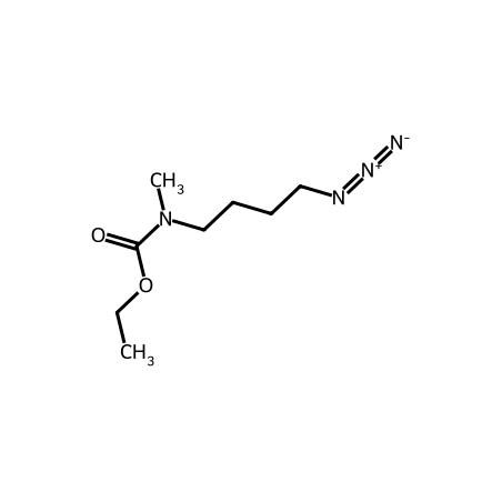 CCOC(=O)N(C)CCCCN=[N+]=[N-]